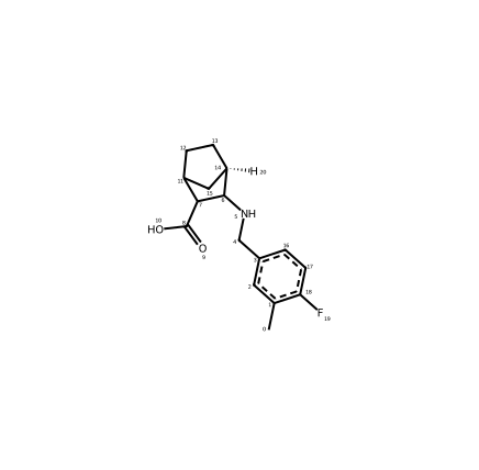 Cc1cc(CNC2C(C(=O)O)C3CC[C@@H]2C3)ccc1F